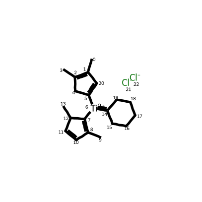 CC1=C(C)C[C]([Ti+2]([C]2=C(C)C=CC2C)=[C]2CCCCC2)=C1.[Cl-].[Cl-]